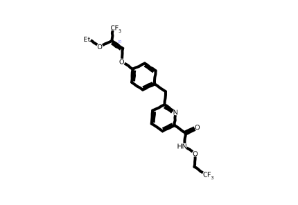 CCO/C(=C\Oc1ccc(Cc2cccc(C(=O)NOCC(F)(F)F)n2)cc1)C(F)(F)F